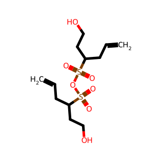 C=CCC(CCO)S(=O)(=O)OS(=O)(=O)C(CC=C)CCO